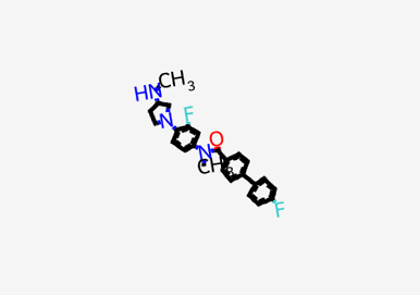 CNC1CCN(c2ccc(N(C)C(=O)c3ccc(-c4ccc(F)cc4)cc3)cc2F)C1